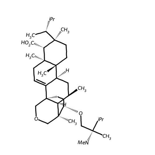 CN[C@](C)(CO[C@H]1[C@H](C)C[C@@]23COC[C@@]1(C)[C@@H]2CC[C@H]1C3=CC[C@@]2(C)[C@H](C(=O)O)[C@@](C)([C@H](C)C(C)C)CC[C@]12C)C(C)C